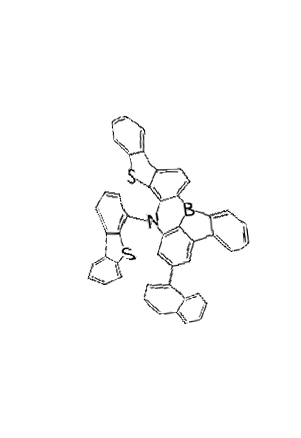 c1ccc2c(c1)B1c3ccc4c(sc5ccccc54)c3N(c3cccc4c3sc3ccccc34)c3cc(-c4cccc5ccccc45)cc-2c31